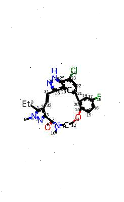 CCc1c2c(nn1C)C(=O)N(C)CCOc1ccc(F)cc1-c1cc(Cl)c3[nH]nc(c3c1)/C=C/2